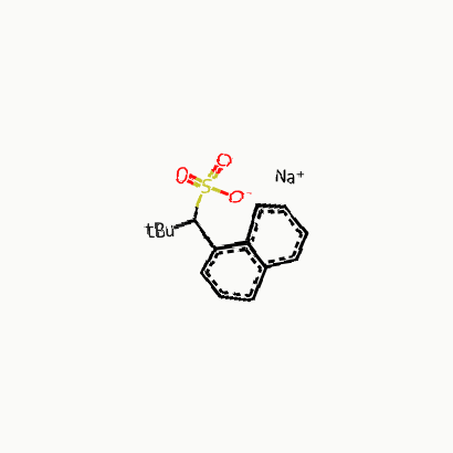 CC(C)(C)C(c1cccc2ccccc12)S(=O)(=O)[O-].[Na+]